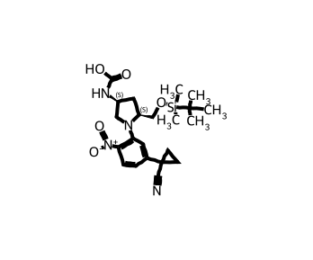 CC(C)(C)[Si](C)(C)OC[C@@H]1C[C@H](NC(=O)O)CN1c1cc(C2(C#N)CC2)ccc1[N+](=O)[O-]